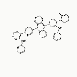 CC1=CC=CCC1C1=CCC(c2c3ccccc3c(-c3ccc(-c4ccccc4NC4C=CC=CC4)c(C)c3)c3ccccc23)C=C1NC1C=CC=CC1